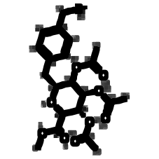 COC(=O)C1O[C@@H](Cc2ccc(CBr)cc2)C(OC(C)=O)[C@@H](OC(C)=O)[C@@H]1OC(C)=O